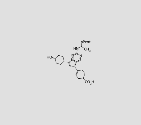 CCCCCC(C)Nc1ncc2c(C3=CCC(C(=O)O)CC3)cc([C@H]3CC[C@H](O)CC3)n2n1